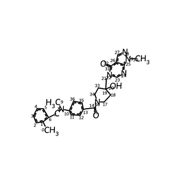 Cc1ccccc1CN(C)c1ccc(C(=O)N2CCC(O)(Cn3cnc4c(cnn4C)c3=O)CC2)cc1